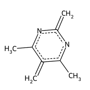 C=c1nc(C)c(=C)c(C)n1